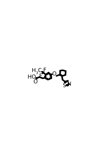 CC(F)(F)c1cc(OCC2=C(Cc3cncs3)CCCC2)ccc1CCC(=O)O